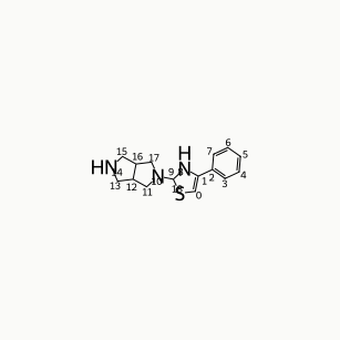 C1=C(c2ccccc2)NC(N2CC3CNCC3C2)S1